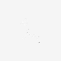 c1ccc(-c2nc(-c3ccc(-c4ccc5oc6ccccc6c5c4)cc3)cc(-c3ccc(-c4ccc5c6ccccc6c6ccccc6c5c4)cc3)n2)cc1